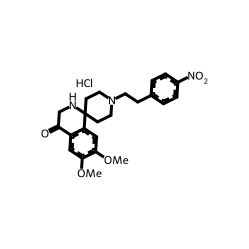 COc1cc2c(cc1OC)C1(CCN(CCc3ccc([N+](=O)[O-])cc3)CC1)NCC2=O.Cl